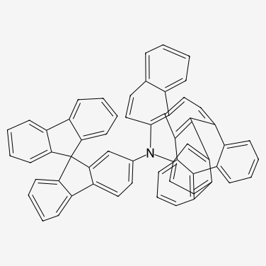 c1ccc2c(c1)-c1cccc3c1-c1cc(N(c4ccc5c(c4)C4(c6ccccc6-c6ccccc64)c4ccccc4-5)c4ccc5ccccc5c4)ccc1-c1cccc-3c1-2